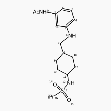 CC(=O)Nc1cccc(NCC2CCC(NS(=O)(=O)C(C)C)CC2)c1